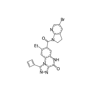 CCc1cc2c(cc1C(=O)N1CCc3cc(Br)cnc31)[nH]c(=O)c1nnc(C3=CC=C3)n12